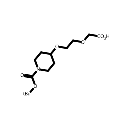 CC(C)(C)OC(=O)N1CCC(OCCOCC(=O)O)CC1